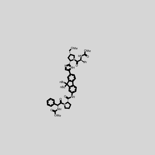 CCCCC1(CCCC)c2cc(NC(=O)[C@@H]3CCCN3C(=O)[C@H](NC(=O)OC)c3ccccc3)ccc2-c2ccc(-c3cnc([C@@H]4C[C@H](COC)CN4C(=O)[C@@H](NC(=O)OC)C(C)C)[nH]3)cc21